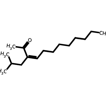 CCCCCCCC/C=C(/CC(C)C)C(C)=O